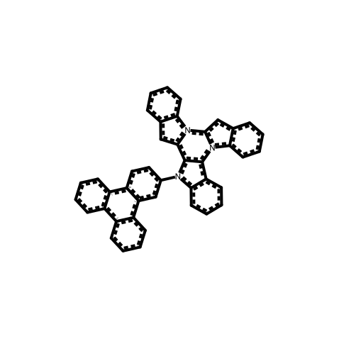 c1ccc2c(c1)cc1c3c(c4ccccc4n3-c3ccc4c5ccccc5c5ccccc5c4c3)n3c4ccccc4cc3n21